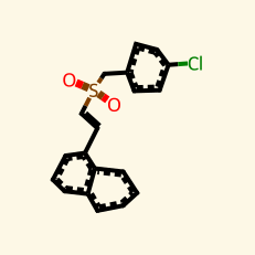 O=S(=O)(C=Cc1cccc2ccccc12)Cc1ccc(Cl)cc1